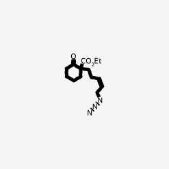 CCOC(=O)C1(CC/C=C\CN=[N+]=[N-])CCCCC1=O